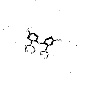 Cc1ccc(Oc2ccc(C)cc2P(OC(C)C)OC(C)C)c(P(OC(C)C)OC(C)C)c1